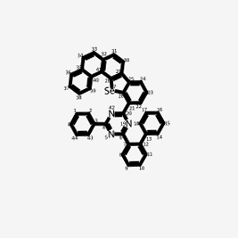 c1ccc(-c2nc(-c3ccccc3-c3ccccc3)nc(-c3cccc4c3[se]c3c4ccc4ccc5ccccc5c43)n2)cc1